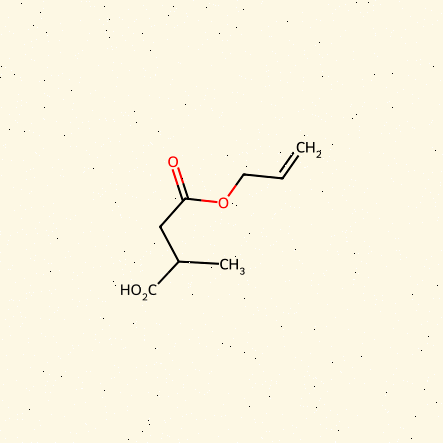 C=CCOC(=O)CC(C)C(=O)O